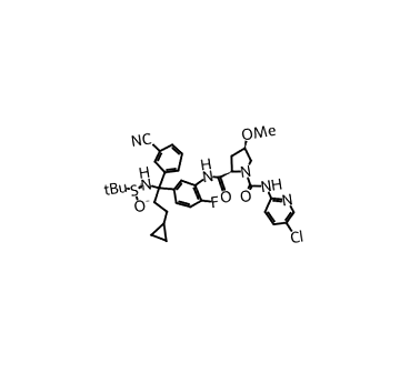 CO[C@@H]1C[C@H](C(=O)Nc2cc(C(CCC3CC3)(N[S+]([O-])C(C)(C)C)c3cccc(C#N)c3)ccc2F)N(C(=O)Nc2ccc(Cl)cn2)C1